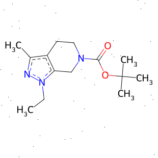 CCn1nc(C)c2c1CN(C(=O)OC(C)(C)C)CC2